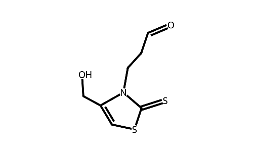 O=CCCn1c(CO)csc1=S